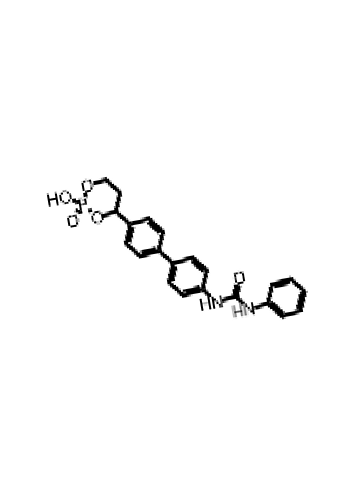 O=C(Nc1ccccc1)Nc1ccc(-c2ccc(C3CCOP(=O)(O)O3)cc2)cc1